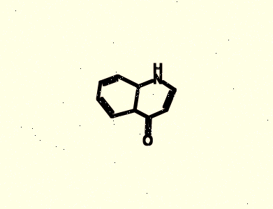 O=C1C=CNC2C=CC=CC12